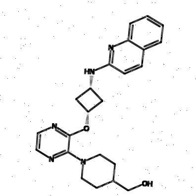 OCC1CCN(c2nccnc2O[C@H]2C[C@@H](Nc3ccc4ccccc4n3)C2)CC1